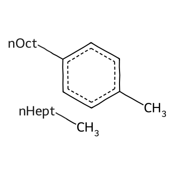 CCCCCCCC.CCCCCCCCc1ccc(C)cc1